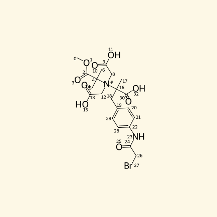 COC(=O)C(C)(C)[N+](CC(=O)O)(CC(=O)O)C(C)(Cc1ccc(NC(=O)CBr)cc1)C(=O)O